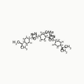 C=C(C)c1ccc(-c2nnc(-c3ccc(-c4nnc(-c5ccc(C(=C)C)cc5)o4)c(OC)c3)o2)cc1